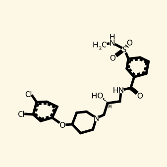 CNS(=O)(=O)c1cccc(C(=O)NC[C@@H](O)CN2CCC(Oc3ccc(Cl)c(Cl)c3)CC2)c1